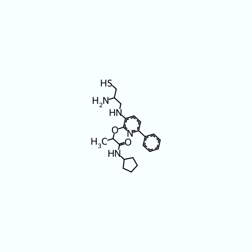 CC(Oc1nc(-c2ccccc2)ccc1NCC(N)CS)C(=O)NC1CCCC1